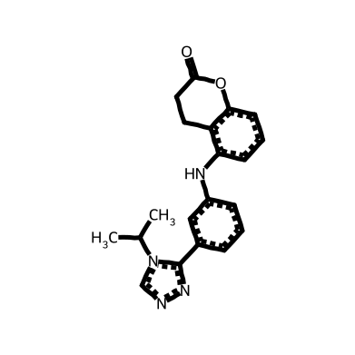 CC(C)n1cnnc1-c1cccc(Nc2cccc3c2CCC(=O)O3)c1